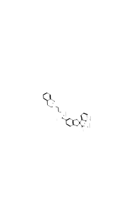 O=C(NCCN1CCc2ccccc2C1)c1ccc2c(c1)CC1(C2)C(=O)Nc2ncccc21